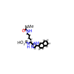 CNC(=O)NCCCC[C@H](NC(=O)O)c1ncc(-c2ccc3ccccc3c2)[nH]1